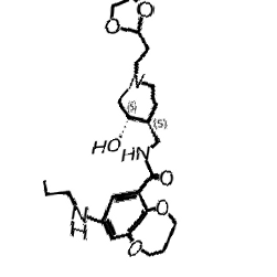 CCCNc1cc2c(c(C(=O)NC[C@@H]3CCN(CCC4OCCO4)C[C@H]3O)c1)OCCCO2